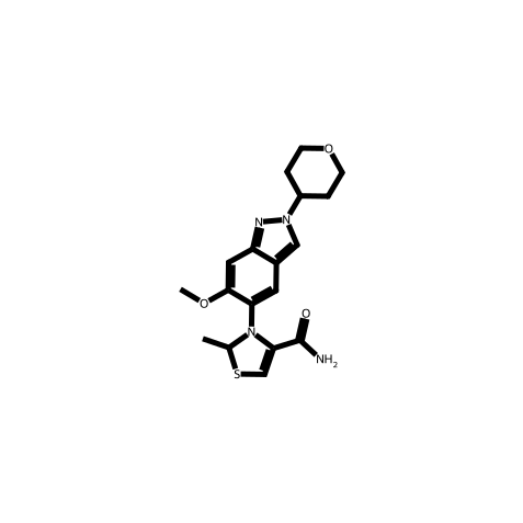 COc1cc2nn(C3CCOCC3)cc2cc1N1C(C(N)=O)=CSC1C